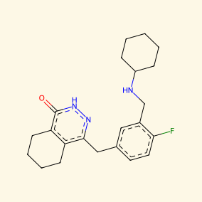 O=c1[nH]nc(Cc2ccc(F)c(CNC3CCCCC3)c2)c2c1CCCC2